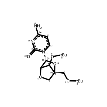 CC(C)(C)OC[C@@]12COC(C1OC(C)(C)C)[C@H](n1ccc(N)nc1=O)O2